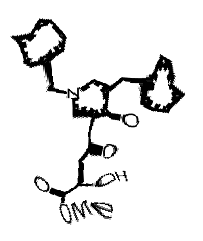 COC(=O)/C(O)=C/C(=O)c1cn(Cc2ccccc2)cc(Cc2ccccc2)c1=O